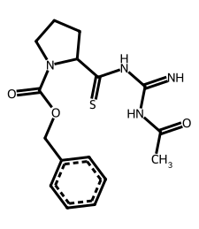 CC(=O)NC(=N)NC(=S)C1CCCN1C(=O)OCc1ccccc1